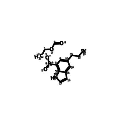 CCOC=O.O=[N+]([O-])c1cc(CCBr)cc2cc[nH]c12